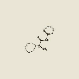 N[C@H](C(=O)Nc1ccccn1)C1CCCCC1